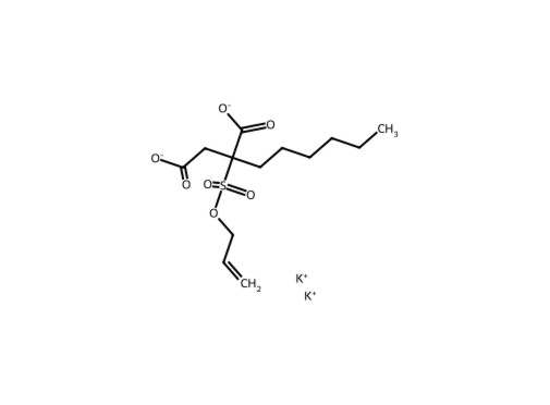 C=CCOS(=O)(=O)C(CCCCCC)(CC(=O)[O-])C(=O)[O-].[K+].[K+]